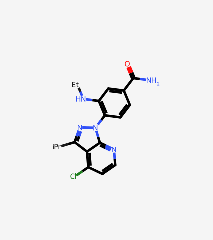 CCNc1cc(C(N)=O)ccc1-n1nc(C(C)C)c2c(Cl)ccnc21